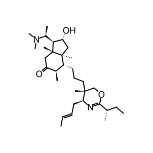 C/C=C/C[C@@H]1N=C([C@@H](C)CC)OC[C@@]1(C)CCC[C@@H]1[C@@H](C)C(=O)C[C@]2(C)[C@@H]([C@H](C)N(C)C)[C@H](O)C[C@@]12C